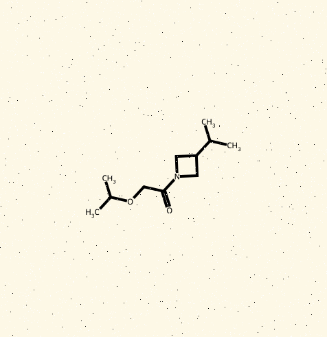 CC(C)OCC(=O)N1CC(C(C)C)C1